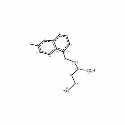 Cc1cc2cccc(CN[C@@H](CCC(C)(C)C)C(=O)O)c2cn1